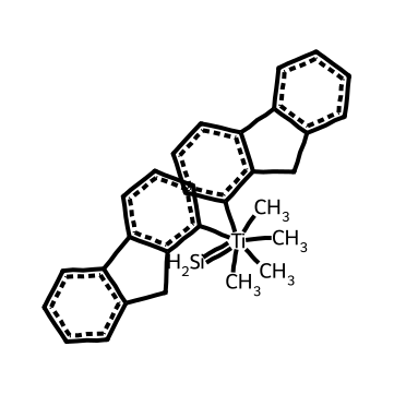 [CH3][Ti]([CH3])([CH3])([CH3])(=[SiH2])([c]1cccc2c1Cc1ccccc1-2)[c]1cccc2c1Cc1ccccc1-2